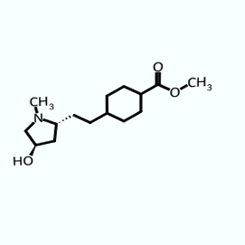 COC(=O)C1CCC(CC[C@@H]2C[C@@H](O)CN2C)CC1